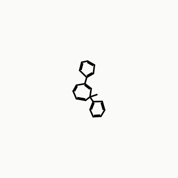 CC1(c2ccccc2)C=CC=CC(c2ccccc2)=C1